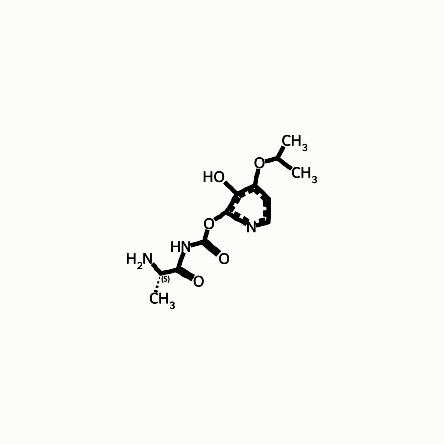 CC(C)Oc1ccnc(OC(=O)NC(=O)[C@H](C)N)c1O